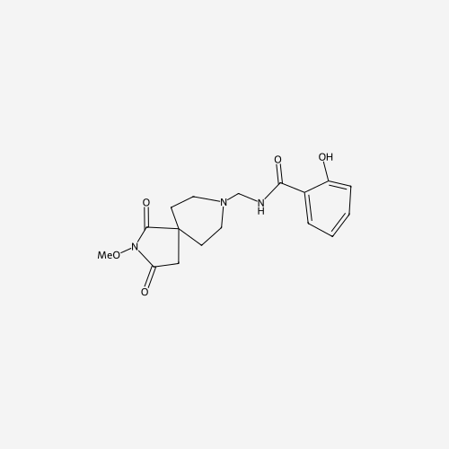 CON1C(=O)CC2(CCN(CNC(=O)c3ccccc3O)CC2)C1=O